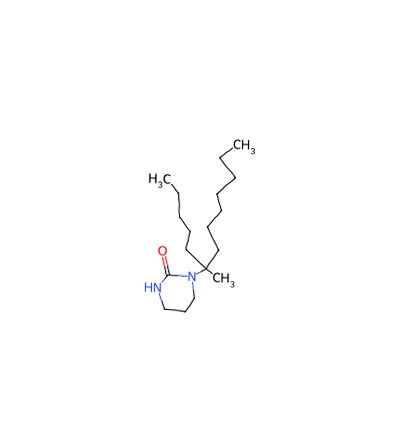 CCCCCCCC(C)(CCCCC)N1CCCNC1=O